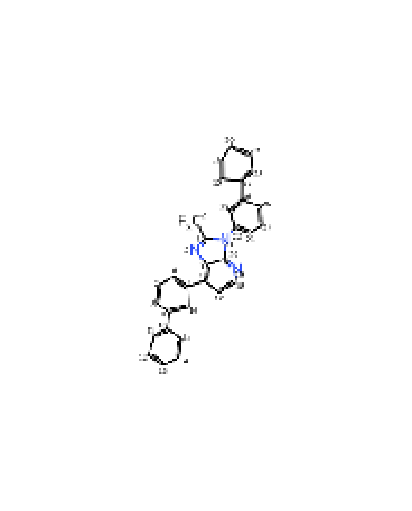 FC(F)(F)c1nc2c(-c3cccc(-c4ccccc4)c3)ccnc2n1-c1cccc(-c2ccccc2)c1